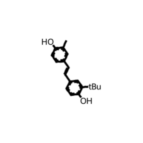 Cc1cc(C=Cc2ccc(O)c(C(C)(C)C)c2)ccc1O